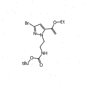 C=C(OCC)c1cc(Br)nn1CCNC(=O)OC(C)(C)C